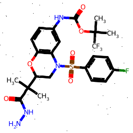 CC(C)(C(=O)NN)C1CN(S(=O)(=O)c2ccc(F)cc2)c2cc(NC(=O)OC(C)(C)C(F)(F)F)ccc2O1